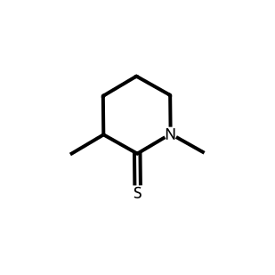 CC1CCCN(C)C1=S